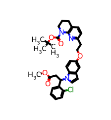 COC(=O)CC(c1ccccc1Cl)n1ccc2cc(OCCc3ccc4c(n3)N(C(=O)OC(C)(C)C)CCC4)ccc21